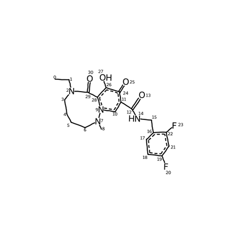 CCN1CCCCN(C)n2cc(C(=O)NCc3ccc(F)cc3F)c(=O)c(O)c2C1=O